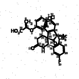 C=C(Oc1ccc(Cl)cc1[C@H]1CC(=O)N[C@@H](c2cc(F)ccc2C)[C@]12C(=O)N(C(C)=O)c1cc(Cl)ccc12)C(=O)O